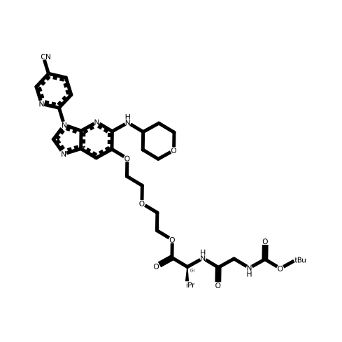 CC(C)[C@H](NC(=O)CNC(=O)OC(C)(C)C)C(=O)OCCOCCOc1cc2ncn(-c3ccc(C#N)cn3)c2nc1NC1CCOCC1